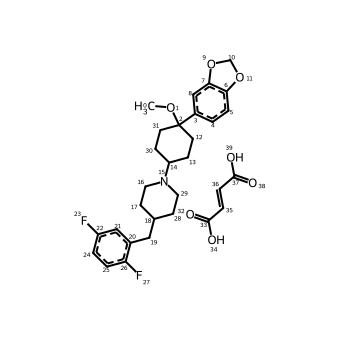 COC1(c2ccc3c(c2)OCO3)CCC(N2CCC(Cc3cc(F)ccc3F)CC2)CC1.O=C(O)C=CC(=O)O